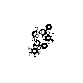 O=C(/C=C\C(=O)ON1CCC(Oc2c(F)c(F)c(F)c(F)c2F)(c2ccccc2)CC1)ON1CCC(Oc2c(F)c(F)c(F)c(F)c2F)(c2ccccc2)CC1